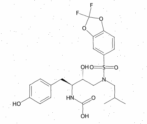 CC(C)CN(C[C@@H](O)[C@H](Cc1ccc(O)cc1)NC(=O)O)S(=O)(=O)c1ccc2c(c1)OC(F)(F)O2